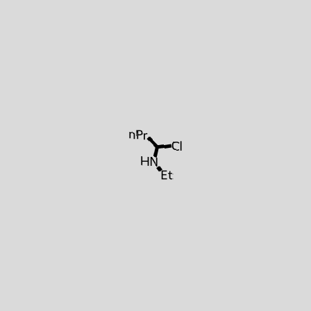 CCCC(Cl)NCC